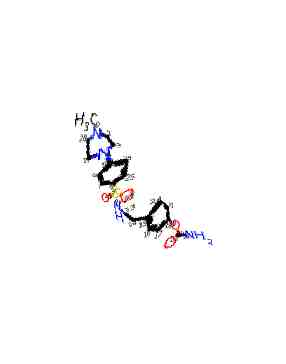 CN1CCN(c2ccc(S(=O)(=O)NCCc3ccc(OC(N)=O)cc3)cc2)CC1